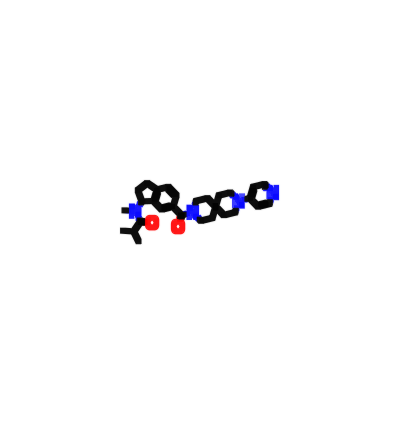 CC(C)C(=O)N(C)C1CCc2ccc(C(=O)N3CCC4(CC3)CCN(c3ccncc3)CC4)cc21